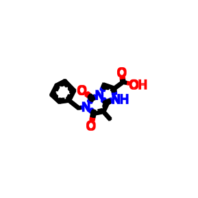 Cc1c(=O)n(Cc2ccccc2)c(=O)n2cc(C(=O)O)[nH]c12